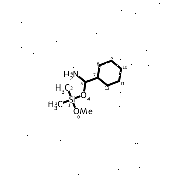 CO[Si](C)(C)OC(N)C1CCCCC1